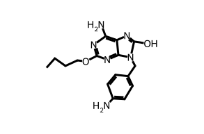 CCCCOc1nc(N)c2nc(O)n(Cc3ccc(N)cc3)c2n1